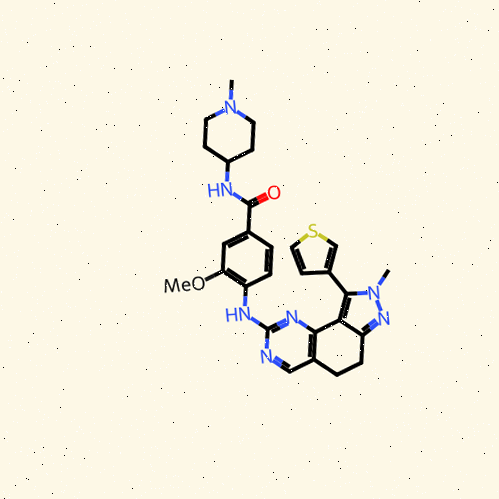 COc1cc(C(=O)NC2CCN(C)CC2)ccc1Nc1ncc2c(n1)-c1c(nn(C)c1-c1ccsc1)CC2